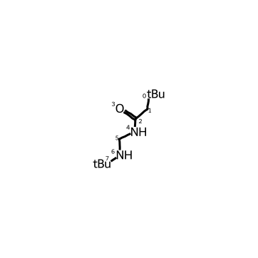 CC(C)(C)CC(=O)NCNC(C)(C)C